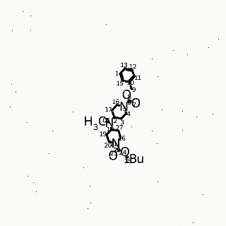 CN(C1CCN(C(=O)OCc2ccccc2)CC1)C1CCN(C(=O)OC(C)(C)C)CC1